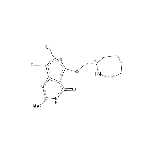 CSc1nc2c(F)c(Cl)nc(OC[C@@H]3CCCCCN3)c2c(=O)[nH]1